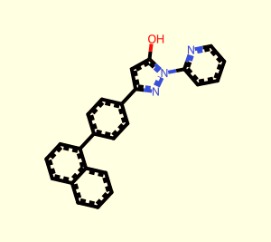 Oc1cc(-c2ccc(-c3cccc4ccccc34)cc2)nn1-c1ccccn1